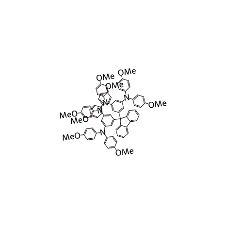 COc1ccc(N(c2ccc(OC)cc2)c2cc(N(c3ccc(OC)cc3)c3ccc(OC)cc3)cc(C3(c4cc(N(c5ccc(OC)cc5)c5ccc(OC)cc5)cc(N(c5ccc(OC)cc5)c5ccc(OC)cc5)c4)c4ccccc4-c4ccccc43)c2)cc1